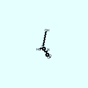 N#C/C(=C\c1ccc(OCCCCCCCCCCCO)c(CO)c1)c1ccc2c(c1)OCO2